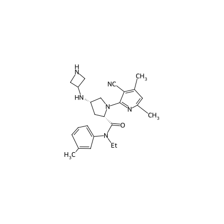 CCN(C(=O)[C@@H]1C[C@H](NC2CNC2)CN1c1nc(C)cc(C)c1C#N)c1cccc(C)c1